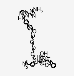 Cc1ncsc1-c1ccc(CNC(=O)[C@@H]2C[C@@H](O)CN2C(=O)[C@H](C(C)C)N2Cc3ccccc3C2=O)c(OCCOCCOCCOCCOCC(=O)N2CCN(c3ccc(Nc4nc(-c5cncc(N)n5)cn5ccnc45)cc3)CC2)c1